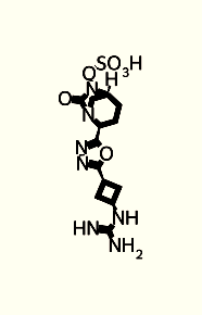 N=C(N)N[C@H]1C[C@@H](c2nnc([C@@H]3CC[C@H]4CN3C(=O)N4OS(=O)(=O)O)o2)C1